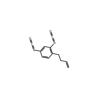 C=CCCc1ccc(N=C=O)cc1N=C=O